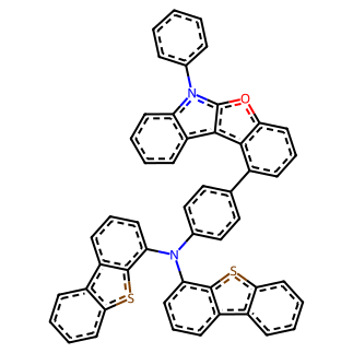 c1ccc(-n2c3ccccc3c3c4c(-c5ccc(N(c6cccc7c6sc6ccccc67)c6cccc7c6sc6ccccc67)cc5)cccc4oc32)cc1